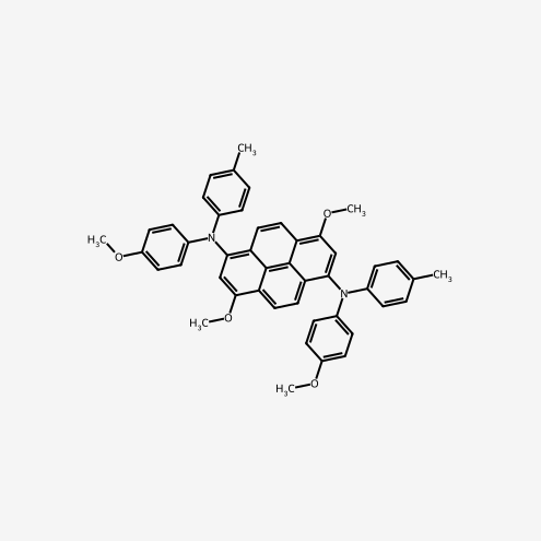 COc1ccc(N(c2ccc(C)cc2)c2cc(OC)c3ccc4c(N(c5ccc(C)cc5)c5ccc(OC)cc5)cc(OC)c5ccc2c3c54)cc1